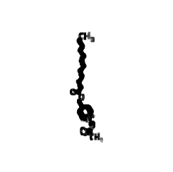 CCCCCCCCCCCC(=O)OCc1cc[n+](OC(C)=O)cc1